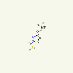 CSC(C)n1ccc(OCC(C)(C)C)n1